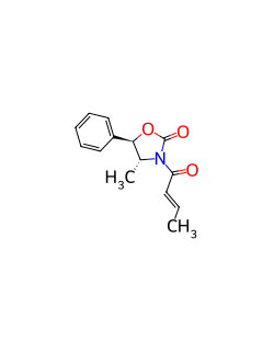 C/C=C/C(=O)N1C(=O)O[C@H](c2ccccc2)[C@H]1C